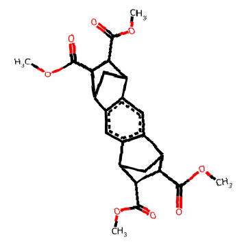 COC(=O)C1C2CC(c3cc4c(cc32)C2CC4C(C(=O)OC)C2C(=O)OC)C1C(=O)OC